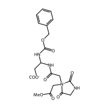 COC(=O)C[N+]1(CC(=O)NC(CC(=O)[O-])NC(=O)OCc2ccccc2)C(=O)CNC1=O